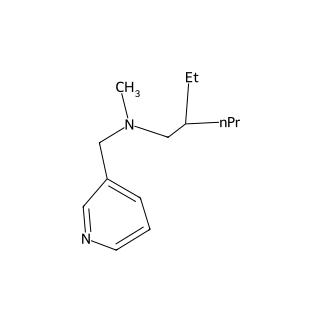 CCCC(CC)CN(C)Cc1cccnc1